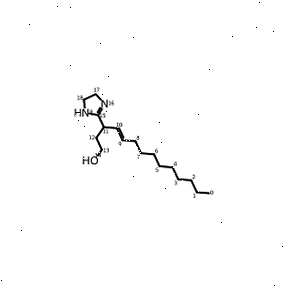 CCCCCCCCCC=CC(CCO)C1=NCCN1